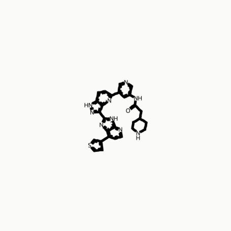 O=C(CC1CCNCC1)Nc1cncc(-c2ccc3[nH]nc(-c4nc5c(-c6ccsc6)ccnc5[nH]4)c3n2)c1